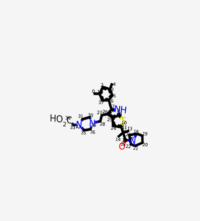 Cc1cc(C)cc(-c2[nH]c3sc(C(C)(C)C(=O)N4C5CCC4CC5)cc3c2CCN2CCN(CC(=O)O)CC2)c1